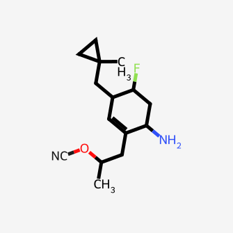 CC(CC1=CC(CC2(C)CC2)C(F)CC1N)OC#N